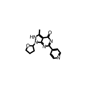 Cc1[nH]n(C2CCCO2)c2nc(-c3ccncc3)nc(=O)c1-2